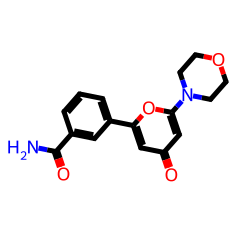 NC(=O)c1cccc(-c2cc(=O)cc(N3CCOCC3)o2)c1